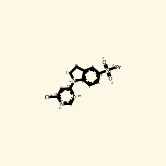 CC(C)S(=O)(=O)c1ccc2c(c1)CCN2c1cc(Cl)ncn1